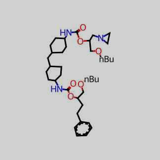 CCCCOCC(CCc1ccccc1)OC(=O)NC1CCC(CC2CCC(NC(=O)OC(COCCCC)CN3CC3)CC2)CC1